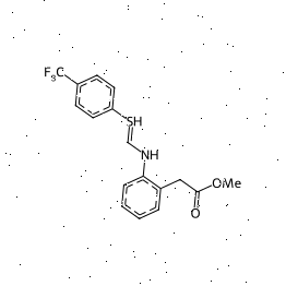 COC(=O)Cc1ccccc1NC=[SH]c1ccc(C(F)(F)F)cc1